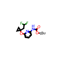 CC(C)(C)OC(=O)Nc1cccc(OC2(CC(F)F)CC2)n1